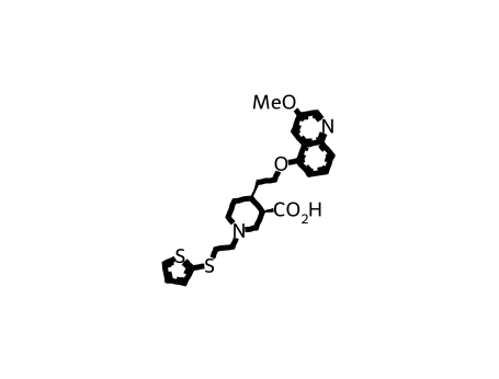 COc1cnc2cccc(OCC[C@@H]3CCN(CCSc4cccs4)C[C@@H]3C(=O)O)c2c1